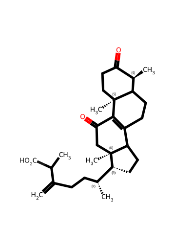 C=C(CC[C@@H](C)[C@H]1CCC2C3=C(C(=O)C[C@@]21C)[C@@]1(C)CCC(=O)[C@@H](C)C1CC3)C(C)C(=O)O